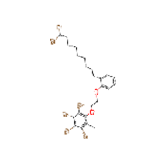 Cc1c(Br)c(Br)c(Br)c(Br)c1OCCOc1ccccc1CCCCCCCCC(Br)Br